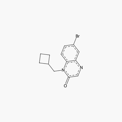 O=c1cnc2cc(Br)ccc2n1CC1CCC1